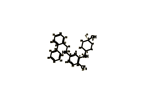 C[C@]1(O)CC[C@@H](Nc2nc(NCc3cccnc3-c3ccccc3)ncc2C(F)(F)F)CC1